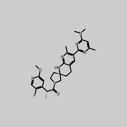 COc1cc([C@@H](C)C(=O)N2CC[C@@]3(CCc4cc(-c5nc(C)cc(N(C)C)n5)c(C)nc4N3)C2)c(F)cn1